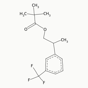 CC(COC(=O)C(C)(C)C)c1cccc(C(F)(F)F)c1